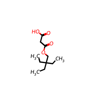 CCC(CC)(CC)COC(=O)CC(=O)O